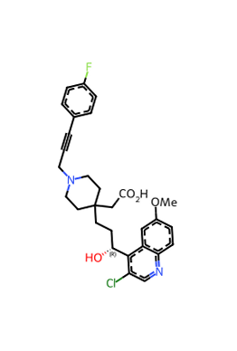 COc1ccc2ncc(Cl)c([C@H](O)CCC3(CC(=O)O)CCN(CC#Cc4ccc(F)cc4)CC3)c2c1